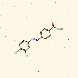 COC(=O)c1ccc(C=Nc2ccc(Cl)c(Cl)c2)cc1